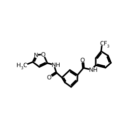 Cc1cc(NC(=O)c2cccc(C(=O)Nc3cccc(C(F)(F)F)c3)c2)on1